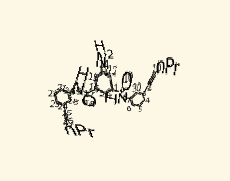 CCCC#Cc1cccc(NC(=O)c2cc(N)cc(C(=O)Nc3cccc(C#CCCC)c3)c2)c1